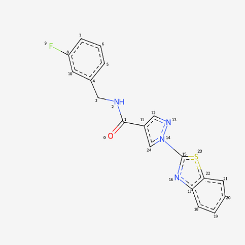 O=C(NCc1cccc(F)c1)c1cnn(-c2nc3ccccc3s2)c1